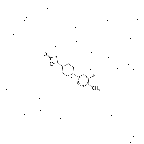 Cc1ccc(C2CCC(C3CC(=O)O3)CC2)cc1F